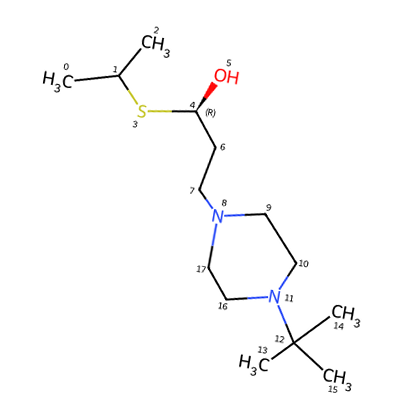 CC(C)S[C@@H](O)CCN1CCN(C(C)(C)C)CC1